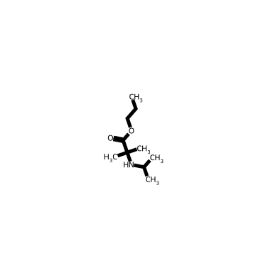 CCCOC(=O)C(C)(C)NC(C)C